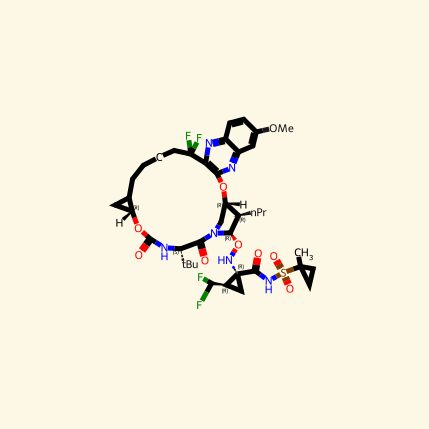 CCC[C@@H]1[C@@H]2CN(C(=O)[C@H](C(C)(C)C)NC(=O)O[C@@H]3CC3CCCCC(F)(F)c3nc4ccc(OC)cc4nc3O2)[C@@H]1ON[C@]1(C(=O)NS(=O)(=O)C2(C)CC2)C[C@H]1C(F)F